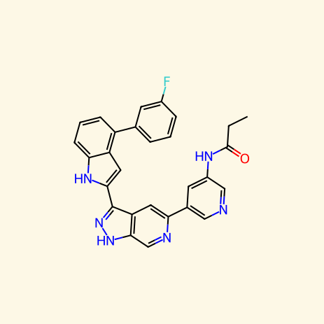 CCC(=O)Nc1cncc(-c2cc3c(-c4cc5c(-c6cccc(F)c6)cccc5[nH]4)n[nH]c3cn2)c1